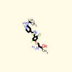 CC(C)Nc1cc(-c2nnc(-c3cc(F)c(OC[C@H](N)[C@H](C)O)cc3Cl)s2)ccn1